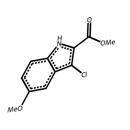 COC(=O)c1[nH]c2ccc(OC)cc2c1Cl